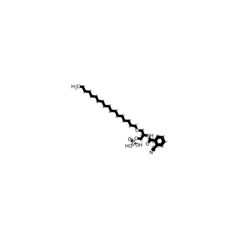 CCCCCCCCCCCCCCCCCCOCC(COP(=O)(O)O)NC(=O)c1ccccc1C#N